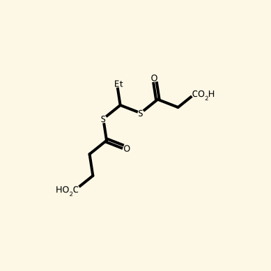 CCC(SC(=O)CCC(=O)O)SC(=O)CC(=O)O